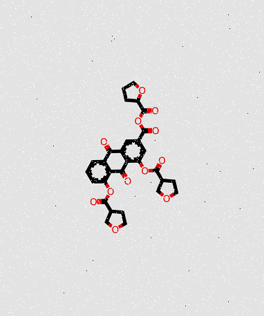 O=C(OC(=O)C1CCCO1)c1cc(OC(=O)C2CCOC2)c2c(c1)C(=O)c1cccc(OC(=O)C3CCOC3)c1C2=O